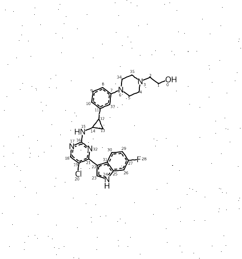 OCCN1CCN(c2cccc(C3CC3Nc3ncc(Cl)c(-c4c[nH]c5cc(F)ccc45)n3)c2)CC1